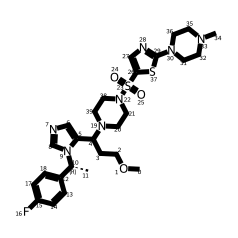 COCCC(c1cncn1[C@H](C)c1ccc(F)cc1)N1CCN(S(=O)(=O)c2cnc(N3CCN(C)CC3)s2)CC1